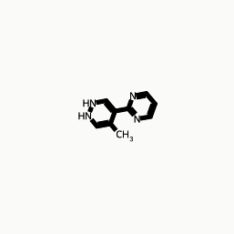 CC1=CNNC=C1c1ncccn1